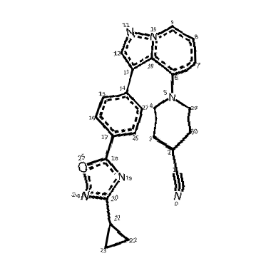 N#CC1CCN(c2cccn3ncc(-c4ccc(-c5nc(C6CC6)no5)cc4)c23)CC1